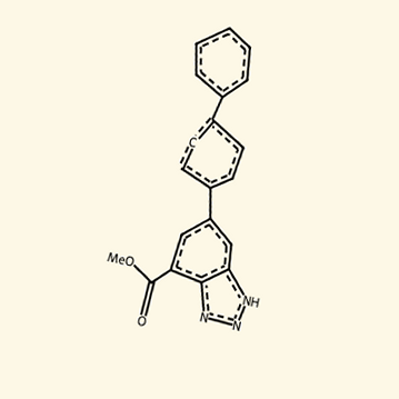 COC(=O)c1cc(-c2ccc(-c3ccccc3)cc2)cc2[nH]nnc12